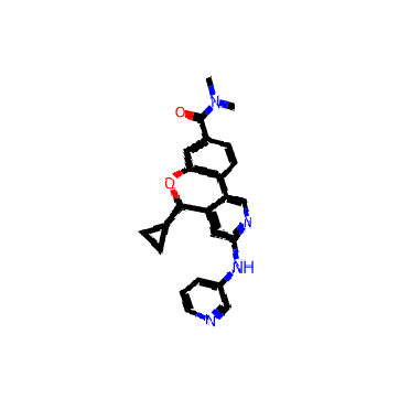 CN(C)C(=O)c1ccc2c(c1)OC(C1CC1)c1cc(Nc3cccnc3)ncc1-2